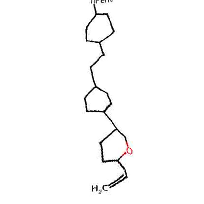 C=CC1CCC(C2CCC(CCC3CCC(CCCCC)CC3)CC2)CO1